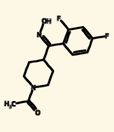 CC(=O)N1CCC(C(=NO)c2ccc(F)cc2F)CC1